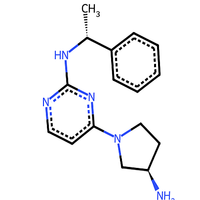 C[C@@H](Nc1nccc(N2CC[C@@H](N)C2)n1)c1ccccc1